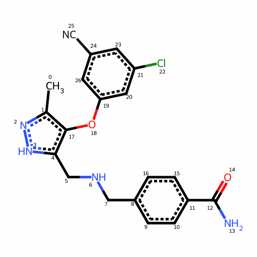 Cc1n[nH]c(CNCc2ccc(C(N)=O)cc2)c1Oc1cc(Cl)cc(C#N)c1